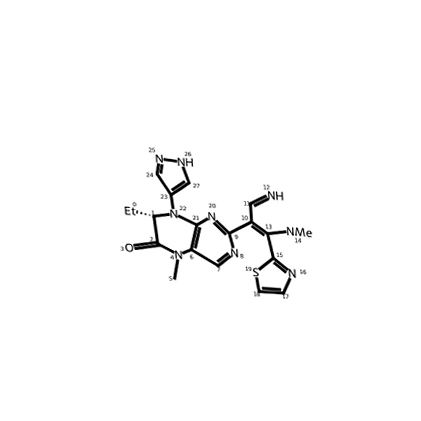 CC[C@H]1C(=O)N(C)c2cnc(/C(C=N)=C(/NC)c3nccs3)nc2N1c1cn[nH]c1